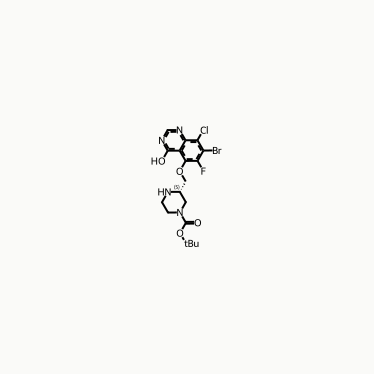 CC(C)(C)OC(=O)N1CCN[C@H](COc2c(F)c(Br)c(Cl)c3ncnc(O)c23)C1